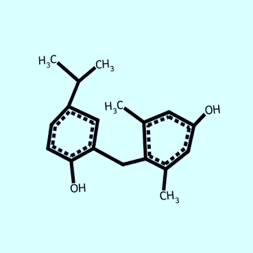 Cc1cc(O)cc(C)c1Cc1cc(C(C)C)ccc1O